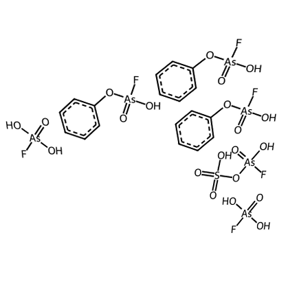 O=S(=O)(O)O[As](=O)(O)F.O=[As](O)(F)Oc1ccccc1.O=[As](O)(F)Oc1ccccc1.O=[As](O)(F)Oc1ccccc1.O=[As](O)(O)F.O=[As](O)(O)F